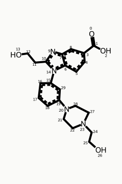 O=C(O)c1ccc2c(c1)nc(CCO)n2-c1cccc(N2CCN(CCO)CC2)c1